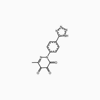 CC1=NN(c2ccc(-c3nnn[nH]3)cc2)C(=O)C(=O)C1=O